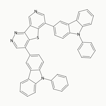 c1ccc(-n2c3ccccc3c3cc(-c4cncc5c4sc4c(-c6ccc7c(c6)c6ccccc6n7-c6ccccc6)cnnc45)ccc32)cc1